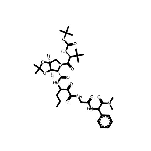 CCCC(NC(=O)[C@@H]1[C@H]2OC(C)(C)O[C@H]2CN1C(=O)[C@@H](NC(=O)OC(C)(C)C)C(C)(C)C)C(=O)C(=O)NCC(=O)NC(C(=O)N(C)C)c1ccccc1